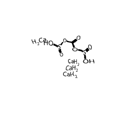 O=C(OS(=O)O)OS(=O)O.[CaH2].[CaH2].[CaH2].[CaH2]